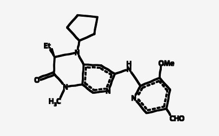 CC[C@@H]1C(=O)N(C)c2cnc(Nc3ncc(C=O)cc3OC)cc2N1C1CCCC1